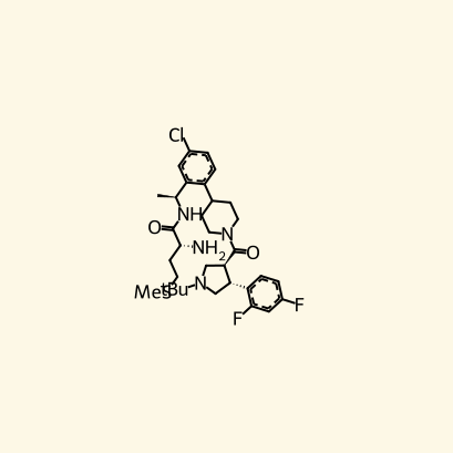 CSCC[C@@H](N)C(=O)N[C@@H](C)c1cc(Cl)ccc1C1CCN(C(=O)[C@@H]2CN(C(C)(C)C)C[C@H]2c2ccc(F)cc2F)CC1